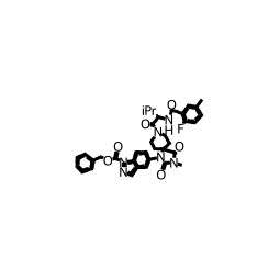 Cc1ccc(F)c(C(=O)N[C@@H](C(=O)N2CCC3(CC2)C(=O)N(C)C(=O)N3c2ccc3c(cnn3C(=O)OCc3ccccc3)c2)C(C)C)c1